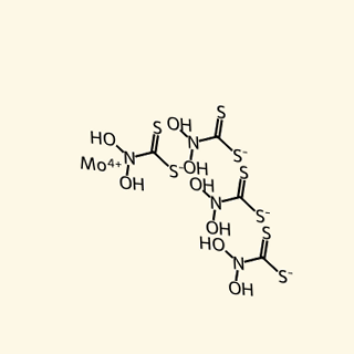 ON(O)C(=S)[S-].ON(O)C(=S)[S-].ON(O)C(=S)[S-].ON(O)C(=S)[S-].[Mo+4]